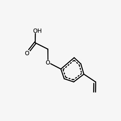 C=Cc1ccc(OCC(=O)O)cc1